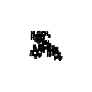 CC(C)(C)OC(=O)Nc1sc(-c2c(F)cccc2F)nc1C(=O)Nc1cnn(CC(F)F)c1